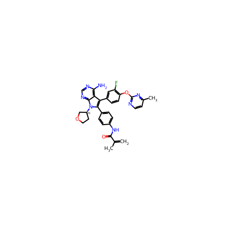 C=C(C)C(=O)Nc1ccc(-c2c(-c3ccc(Oc4nccc(C)n4)c(F)c3)c3c(N)ncnc3n2[C@H]2CCOC2)cc1